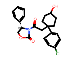 O=C(CC1(c2ccc(Cl)cc2)CCC(O)CC1)N1C(=O)OC[C@@H]1c1ccccc1